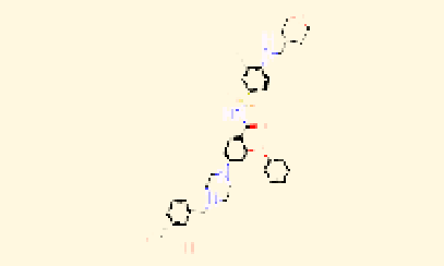 O=C(NS(=O)(=O)c1ccc(NCC2CCOCC2)c([N+](=O)[O-])c1)c1ccc(N2CCN(Cc3cccc(B(O)O)c3)CC2)cc1Oc1ccccc1